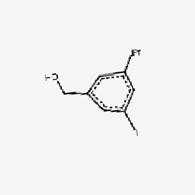 CC(C)c1cc(I)cc([CH]O)c1